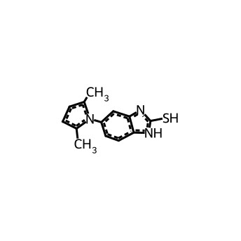 Cc1ccc(C)n1-c1ccc2[nH]c(S)nc2c1